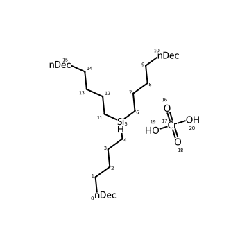 CCCCCCCCCCCCCC[SiH](CCCCCCCCCCCCCC)CCCCCCCCCCCCCC.[O]=[Cr](=[O])([OH])[OH]